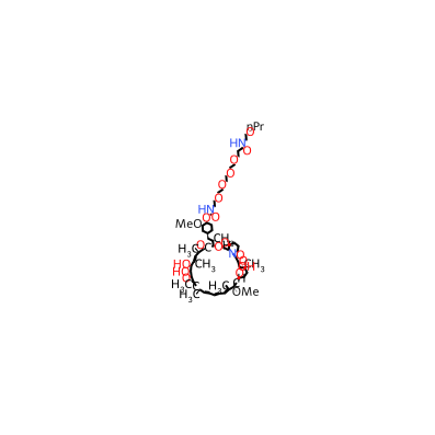 CCCOCCNC(=O)CCOCCOCCOCCOCCNC(=O)O[C@@H]1CC[C@@H](C[C@@H](C)[C@@H]2CC(=O)[C@H](C)/C=C(\C)[C@@H](O)[C@@H](O)C(=O)[C@H](C)C[C@H](C)/C=C/C=C/C=C(\C)[C@@H](OC)C[C@@H]3CC[C@@H](C)[C@@](O)(O3)C(=O)C(=O)N3CCCC[C@H]3C(=O)O2)C[C@H]1OC